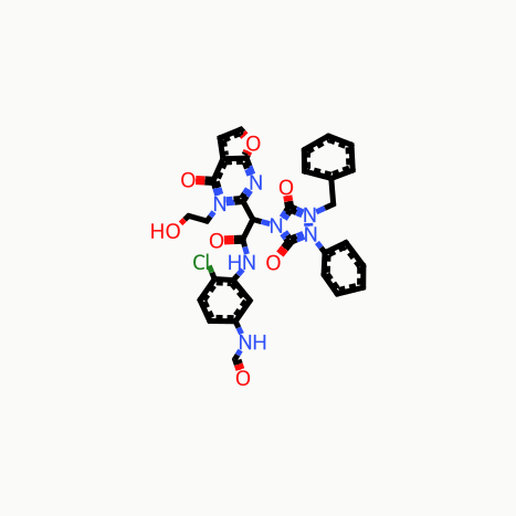 O=CNc1ccc(Cl)c(NC(=O)C(c2nc3occc3c(=O)n2CCO)n2c(=O)n(Cc3ccccc3)n(-c3ccccc3)c2=O)c1